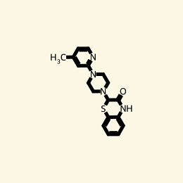 Cc1ccnc(N2CCN(C3Sc4ccccc4NC3=O)CC2)c1